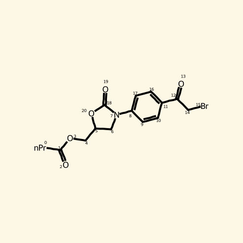 CCCC(=O)OCC1CN(c2ccc(C(=O)CBr)cc2)C(=O)O1